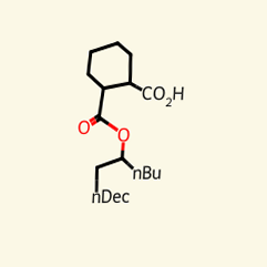 CCCCCCCCCCCC(CCCC)OC(=O)C1CCCCC1C(=O)O